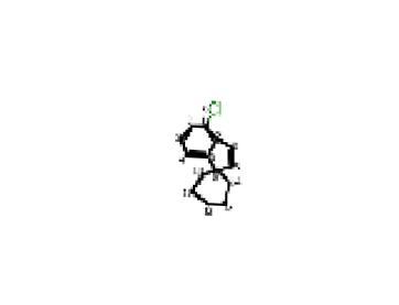 Clc1cccc2c1C=CC21CCCCC1